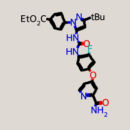 CCOC(=O)c1ccc(-n2nc(C(C)(C)C)cc2NC(=O)Nc2ccc(Oc3ccnc(C(N)=O)c3)cc2F)cc1